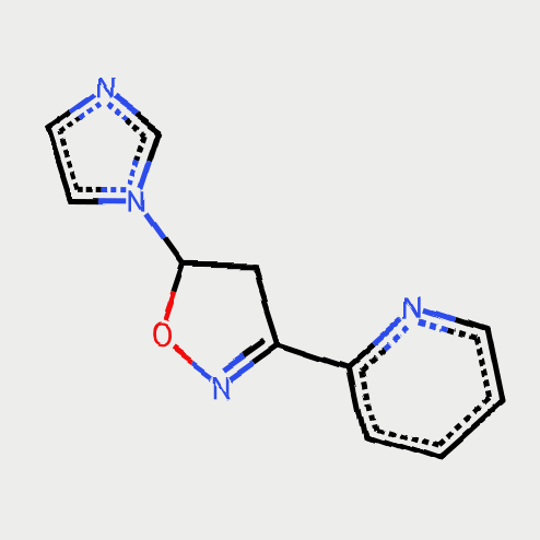 c1ccc(C2=NOC(n3ccnc3)C2)nc1